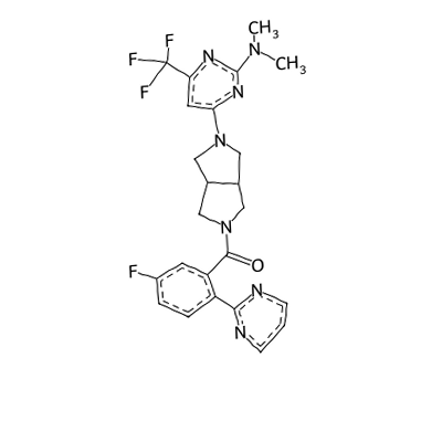 CN(C)c1nc(N2CC3CN(C(=O)c4cc(F)ccc4-c4ncccn4)CC3C2)cc(C(F)(F)F)n1